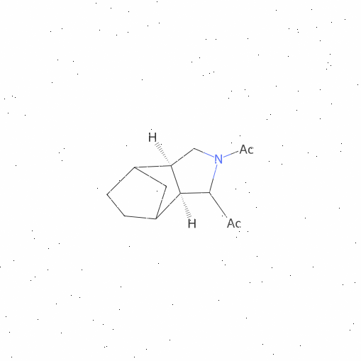 CC(=O)C1[C@H]2C3CCC(C3)[C@H]2CN1C(C)=O